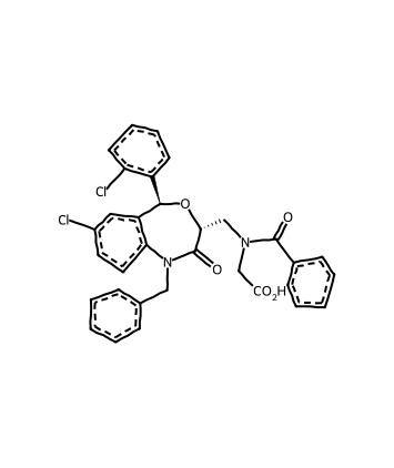 O=C(O)CN(C[C@H]1O[C@H](c2ccccc2Cl)c2cc(Cl)ccc2N(Cc2ccccc2)C1=O)C(=O)c1ccccc1